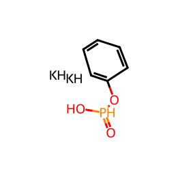 O=[PH](O)Oc1ccccc1.[KH].[KH]